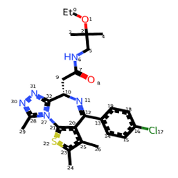 CCOC(C)(C)CNC(=O)C[C@@H]1N=C(c2ccc(Cl)cc2)c2c(sc(C)c2C)-n2c(C)nnc21